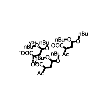 CCCCOC(CC(C(C)=O)C(=O)[O-])OCCCC.CCCCOC(CC(C(C)=O)C(=O)[O-])OCCCC.CCCCOC(CC(C(C)=O)C(=O)[O-])OCCCC.[Y+3]